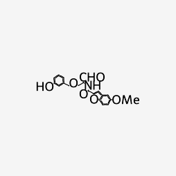 COc1ccc2oc(C(=O)NC(C=O)COCc3cccc(O)c3)cc2c1